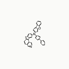 c1ccc(-c2ccc(N(c3ccc4c(c3)oc3ccccc34)c3ccc4sc5ccc6cnccc6c5c4c3)cc2)cc1